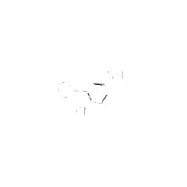 Nc1ccc(Cl)c(C2SCCS2)c1